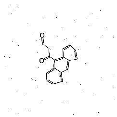 O=CCC(=O)c1c2ccccc2cc2ccccc12